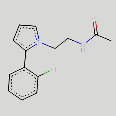 CC(=O)NCCn1cccc1-c1ccccc1Cl